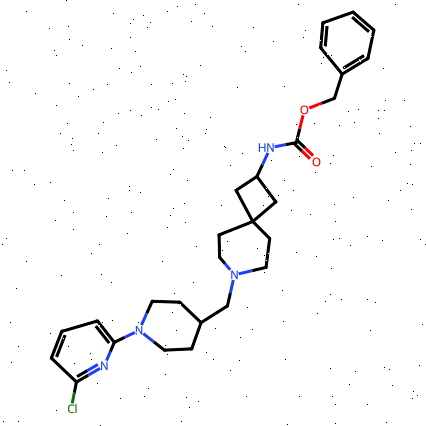 O=C(NC1CC2(CCN(CC3CCN(c4cccc(Cl)n4)CC3)CC2)C1)OCc1ccccc1